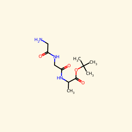 CC(NC(=O)CNC(=O)CN)C(=O)OC(C)(C)C